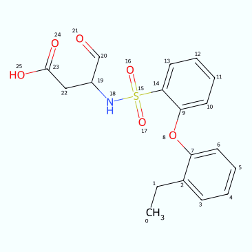 CCc1ccccc1Oc1ccccc1S(=O)(=O)NC(C=O)CC(=O)O